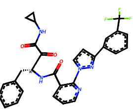 O=C(NC1CC1)C(=O)[C@@H](Cc1ccccc1)NC(=O)c1cccnc1-n1ccc(-c2cccc(C(F)(F)F)c2)n1